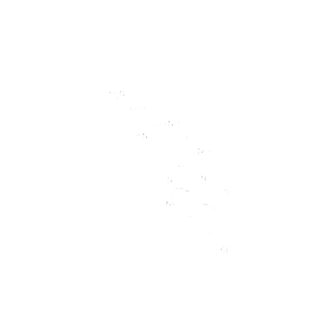 CN(CCNc1cc([N+](=O)[O-])ccn1)c1cnc([N+](=O)[O-])c(-c2ccc(Cl)cc2Cl)n1